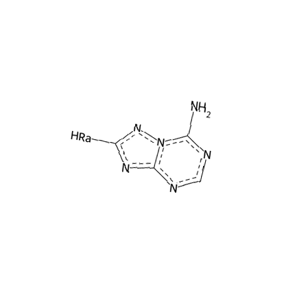 Nc1ncnc2n[c]([RaH])nn12